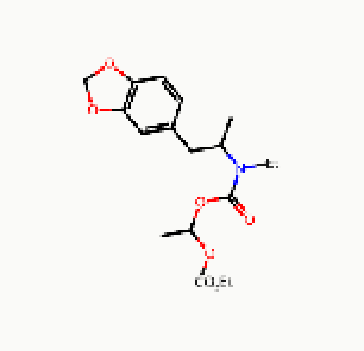 CCOC(=O)OC(C)OC(=O)N(CC)C(C)Cc1ccc2c(c1)OCO2